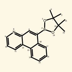 CC1(C)OB(c2cc3ncccc3c3ccccc23)OC1(C)C